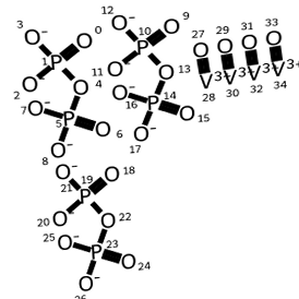 O=P([O-])([O-])OP(=O)([O-])[O-].O=P([O-])([O-])OP(=O)([O-])[O-].O=P([O-])([O-])OP(=O)([O-])[O-].[O]=[V+3].[O]=[V+3].[O]=[V+3].[O]=[V+3]